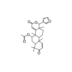 CC(=O)OC1CC2C(C)(C)C(=O)C=CC2(C)C2CCC3(C)C(=CC(=O)OC3c3ccoc3)C12C